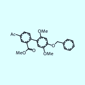 COC(=O)c1cc(C(C)=O)ccc1-c1cc(OC)c(OCc2ccccc2)cc1OC